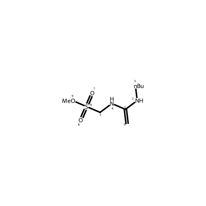 C=C(NCCCC)NCS(=O)(=O)OC